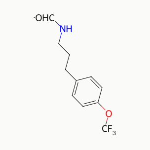 O=[C]NCCCc1ccc(OC(F)(F)F)cc1